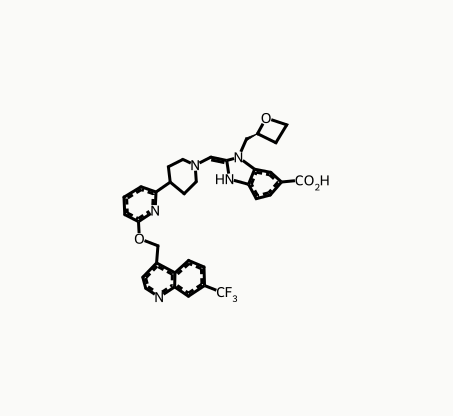 O=C(O)c1ccc2c(c1)N(C[C@@H]1CCO1)C(=CN1CCC(c3cccc(OCc4ccnc5cc(C(F)(F)F)ccc45)n3)CC1)N2